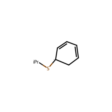 CC(C)S[C]1C=CC=CC1